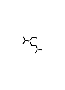 CC(C)N(CI)CCN(C)C